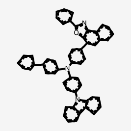 c1ccc(-c2ccc(N(c3ccc(-c4cc5ccccc5c5nc(-c6ccccc6)oc45)cc3)c3ccc(-n4c5ccccc5c5ccccc54)cc3)cc2)cc1